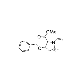 C=CN1C(C(=O)OC)C(OCc2ccccc2)C[C@H]1C